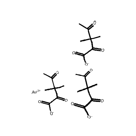 CC(=O)C(C)(C)C(=O)C(=O)[O-].CC(=O)C(C)(C)C(=O)C(=O)[O-].CC(=O)C(C)(C)C(=O)C(=O)[O-].[Au+3]